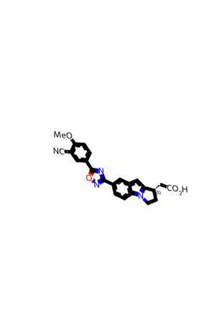 COc1ccc(-c2nc(-c3ccc4c(c3)cc3n4CC[C@H]3CC(=O)O)no2)cc1C#N